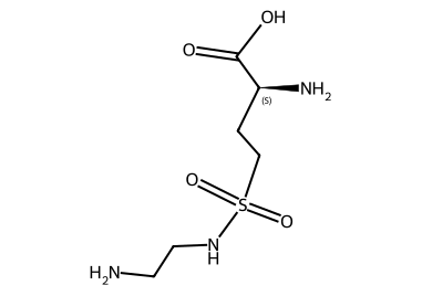 NCCNS(=O)(=O)CC[C@H](N)C(=O)O